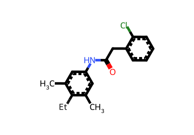 CCc1c(C)cc(NC(=O)Cc2ccccc2Cl)cc1C